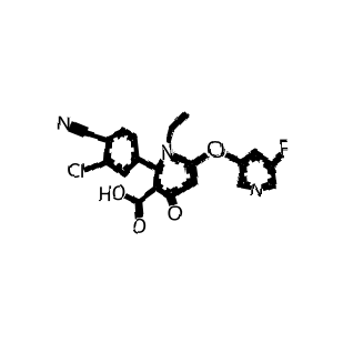 CCn1c(Oc2cncc(F)c2)cc(=O)c(C(=O)O)c1-c1ccc(C#N)c(Cl)c1